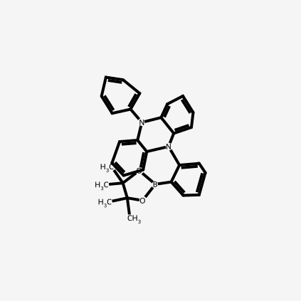 CC1(C)OB(c2ccccc2N2c3ccccc3N(c3ccccc3)c3ccccc32)OC1(C)C